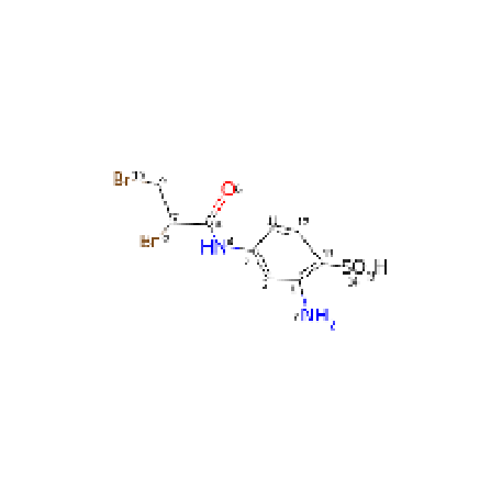 Nc1cc(NC(=O)C(Br)CBr)ccc1S(=O)(=O)O